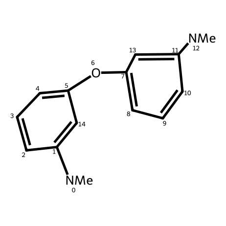 CNc1cccc(Oc2cccc(NC)c2)c1